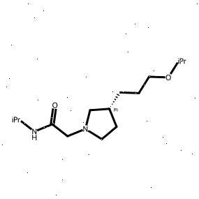 CC(C)NC(=O)CN1CC[C@@H](CCCOC(C)C)C1